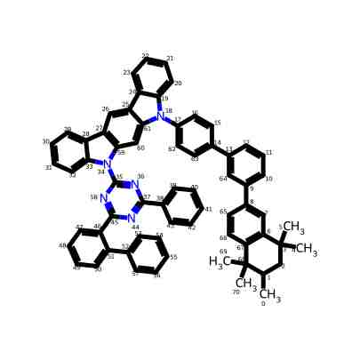 CC1CC(C)(C)c2cc(-c3cccc(-c4ccc(-n5c6ccccc6c6cc7c8ccccc8n(-c8nc(-c9ccccc9)nc(-c9ccccc9-c9ccccc9)n8)c7cc65)cc4)c3)ccc2C1(C)C